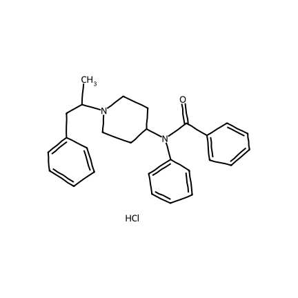 CC(Cc1ccccc1)N1CCC(N(C(=O)c2ccccc2)c2ccccc2)CC1.Cl